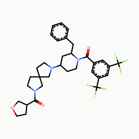 O=C(C1CCOC1)N1CCC2(CCN(C3CCN(C(=O)c4cc(C(F)(F)F)cc(C(F)(F)F)c4)C(Cc4ccccc4)C3)C2)C1